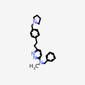 CN(Cc1ccccc1)c1ccc(CCc2ccc(CN3CCCC3)cc2)nn1